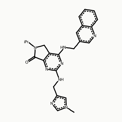 CC(C)N1Cc2c(NCc3cnc4ccccc4c3)nc(NCc3cn(C)cn3)nc2C1=O